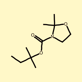 CCC(C)(C)OC(=O)N1CCOC1(C)C